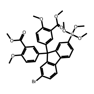 COC(=O)c1cc(C2(c3ccc(OC)c(C(=O)OC)c3)c3cc(Br)ccc3-c3ccc([Si](OC)(OC)OC)cc32)ccc1OC